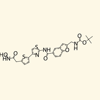 CC(C)(C)OC(=O)NCc1cc2cc(C(=O)Nc3nc(-c4ccc(CC(=O)NO)s4)cs3)ccc2o1